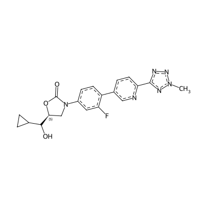 Cn1nnc(-c2ccc(-c3ccc(N4C[C@@H](C(O)C5CC5)OC4=O)cc3F)cn2)n1